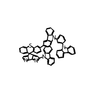 c1cc(-n2c3ccccc3c3ccccc32)cc(-n2c3ccccc3c3cc(-c4ccc5c(c4)Sc4ccccc4C54c5cccnc5-c5ncc(-n6c7ccccc7c7ccccc76)cc54)ccc32)c1